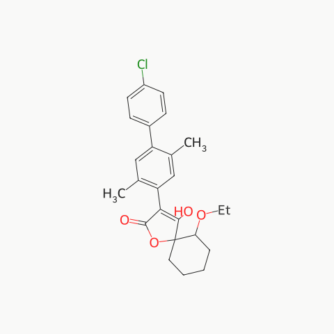 CCOC1CCCCC12OC(=O)C(c1cc(C)c(-c3ccc(Cl)cc3)cc1C)=C2O